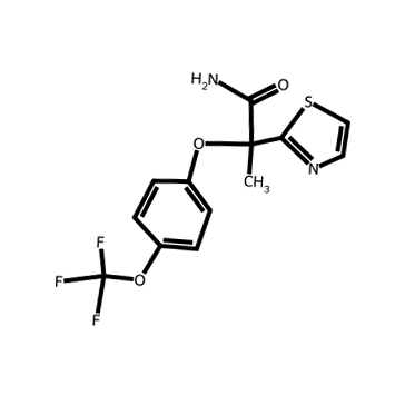 CC(Oc1ccc(OC(F)(F)F)cc1)(C(N)=O)c1nccs1